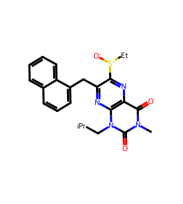 CC[S+]([O-])c1nc2c(=O)n(C)c(=O)n(CC(C)C)c2nc1Cc1cccc2ccccc12